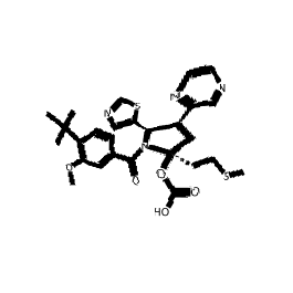 COc1cc(C(=O)N2[C@@H](c3cncs3)[C@@H](c3cnccn3)C[C@@]2(CCSC)OC(=O)O)ccc1C(C)(C)C